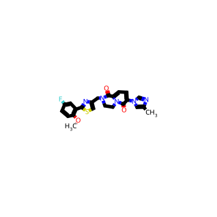 COc1ccc(F)cc1-c1nc(CN2CCn3c(ccc(-n4cnc(C)c4)c3=O)C2=O)cs1